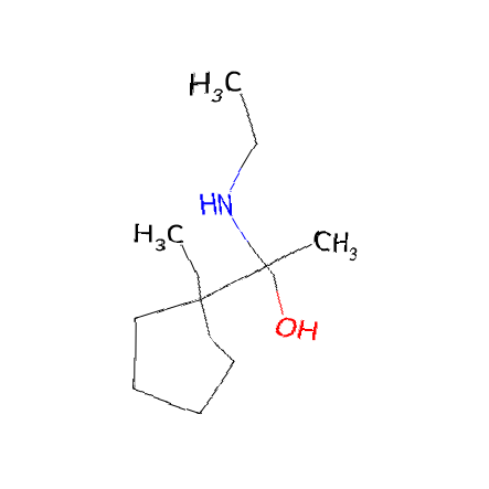 CCNC(C)(O)C1(C)CCCC1